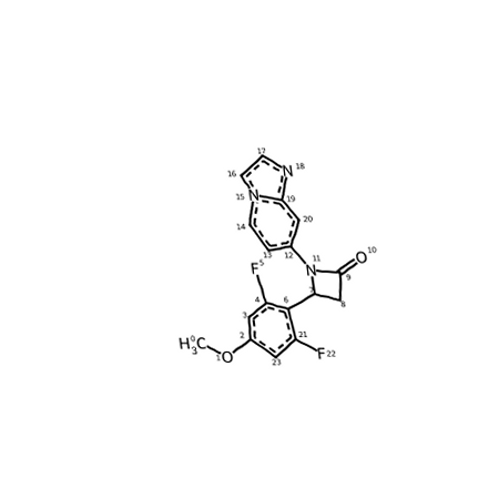 COc1cc(F)c(C2CC(=O)N2c2ccn3ccnc3c2)c(F)c1